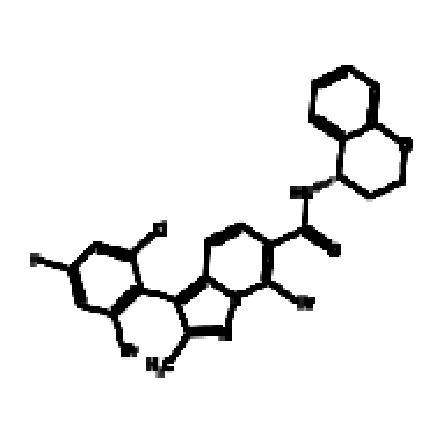 Cc1nn2c(C(C)C)c(C(=O)N[C@H]3CCOc4ccccc43)ccc2c1-c1c(Cl)cc(F)cc1C(C)C